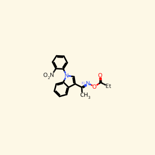 CCC(=O)O/N=C(\C)c1cn(-c2ccccc2[N+](=O)[O-])c2ccccc12